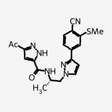 CSc1cc(-c2ccn(C[C@H](C)NC(=O)c3cc(C(C)=O)n[nH]3)n2)ccc1C#N